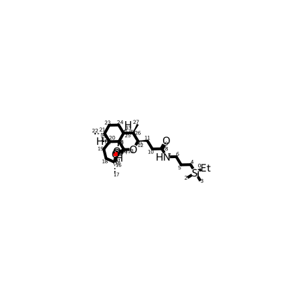 CC[Si](C)(C)CCCNC(=O)CC[C@H]1O[C@@H]2O[C@]3(C)CC[C@H]4[C@H](C)CC[C@@H]([C@H]1C)[C@@]24OO3